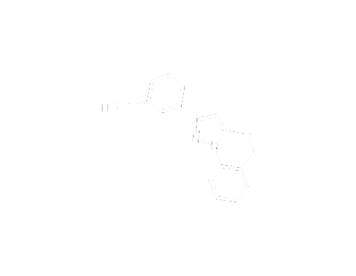 O=C(O)c1cccc(-c2cc3n(n2)-c2ccccc2CO3)c1